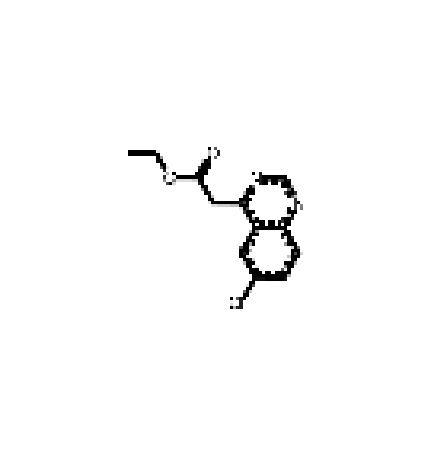 CCOC(=O)Cc1ncnc2ccc(Cl)cc12